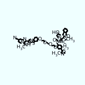 CNc1c(-c2cn3c(n2)sc2cc(OCCOCCOCCOc4cc(-c5scnc5C)ccc4CNC(=O)[C@@H]4C[C@@H](O)CN4C(=O)[C@H](C(C)C)N4Cc5ccccc5C4=O)ccc23)nc2cc(C#N)ccn12